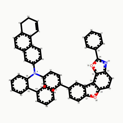 C1=Cc2c(ccc3cc(N(c4ccc(-c5ccc6oc7ccc8nc(-c9ccccc9)oc8c7c6c5)cc4)c4ccccc4-c4ccccc4)ccc23)CC1